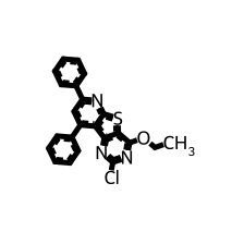 CCOc1nc(Cl)nc2c1sc1nc(-c3ccccc3)cc(-c3ccccc3)c12